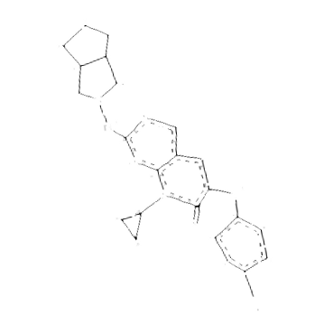 O=c1c(Oc2ccc(Cl)cc2)cc2cnc(NN3CC4CCCC4C3)nc2n1C1CC1